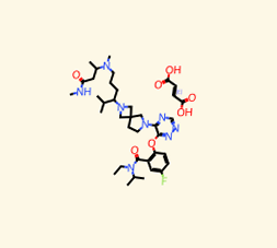 CCN(C(=O)c1cc(F)ccc1Oc1nncnc1N1CCC2(C1)CN(C(CCCN(C)C(C)CC(=O)NC)C(C)C)C2)C(C)C.O=C(O)/C=C/C(=O)O